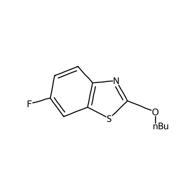 CCCCOc1nc2ccc(F)cc2s1